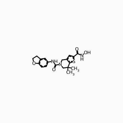 CC1(C)CN(C(=O)Nc2ccc3c(c2)CCO3)Cc2cc(C(=O)NO)sc21